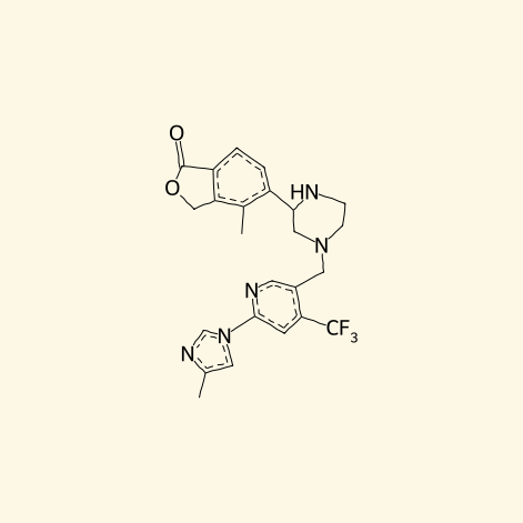 Cc1cn(-c2cc(C(F)(F)F)c(CN3CCNC(c4ccc5c(c4C)COC5=O)C3)cn2)cn1